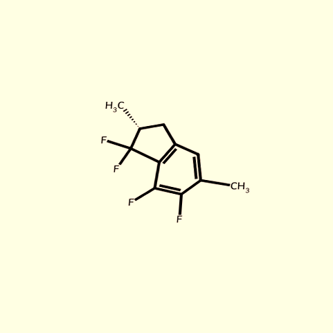 Cc1cc2c(c(F)c1F)C(F)(F)[C@H](C)C2